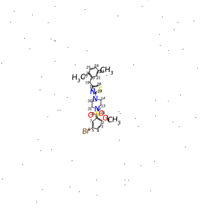 COc1ccc(Br)cc1S(=O)(=O)N1CCN(c2nc(Cc3cc(C)ccc3C)cs2)CC1